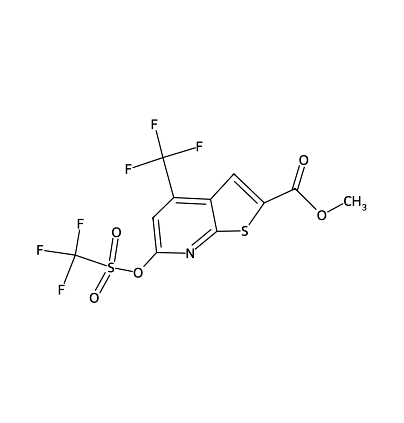 COC(=O)c1cc2c(C(F)(F)F)cc(OS(=O)(=O)C(F)(F)F)nc2s1